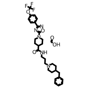 O=C(NCCCN1CCC(Cc2ccccc2)CC1)C1CCN(c2nc(-c3ccc(OC(F)(F)F)cc3)no2)CC1.O=CO